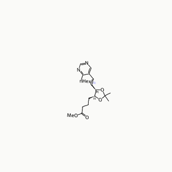 CCCCCCc1ncncc1/C=C/[C@H]1OC(C)(C)O[C@H]1CCCC(=O)OC